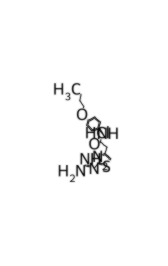 CCCCOc1ccc(NC(=O)Cc2csc(N=C(N)N)n2)cc1.Cl